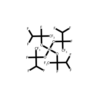 FC(F)C(F)([O][Al-]([O]C(F)(C(F)F)C(F)(F)F)([O]C(F)(C(F)F)C(F)(F)F)[O]C(F)(C(F)F)C(F)(F)F)C(F)(F)F